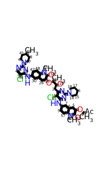 CC(=O)C(C)Oc1cc2cc(Nc3nc(N4CCCCC4)nc(CC(=O)C(C)Oc4cc5cc(Nc6nc(N7CCC(C)CC7)ncc6Cl)ccc5n(C)c4=O)c3Cl)ccc2n(C)c1=O